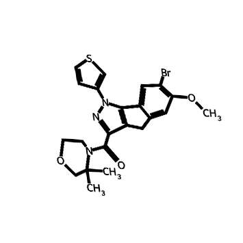 COc1cc2c(cc1Br)-c1c(c(C(=O)N3CCOCC3(C)C)nn1-c1ccsc1)C2